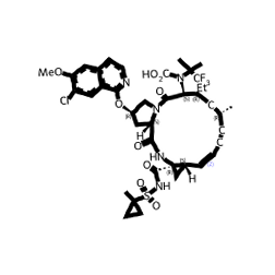 CC[C@@H]1C[C@H](C)CC/C=C\[C@@H]2C[C@@]2(C(=O)NS(=O)(=O)C2(C)CC2)NC(=O)[C@@H]2C[C@@H](Oc3nccc4cc(OC)c(Cl)cc34)CN2C(=O)[C@H]1N(C(=O)O)C(C)(C)C(F)(F)F